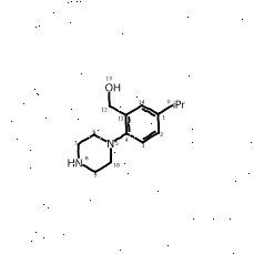 CC(C)c1ccc(N2CCNCC2)c(CO)c1